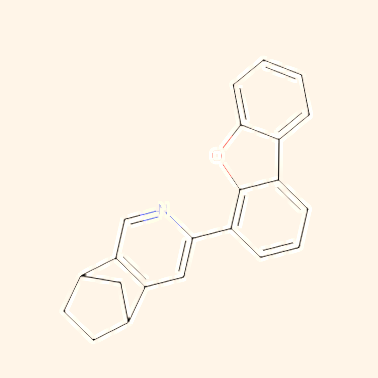 c1ccc2c(c1)oc1c(-c3cc4c(cn3)C3CCC4C3)cccc12